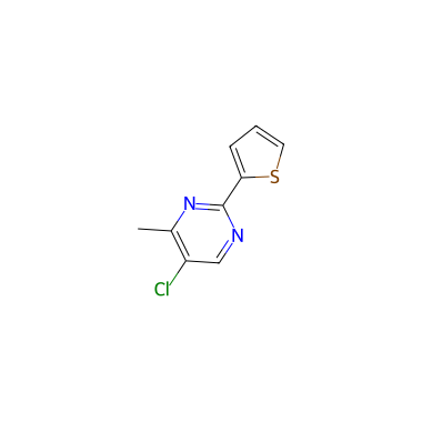 Cc1nc(-c2cccs2)ncc1Cl